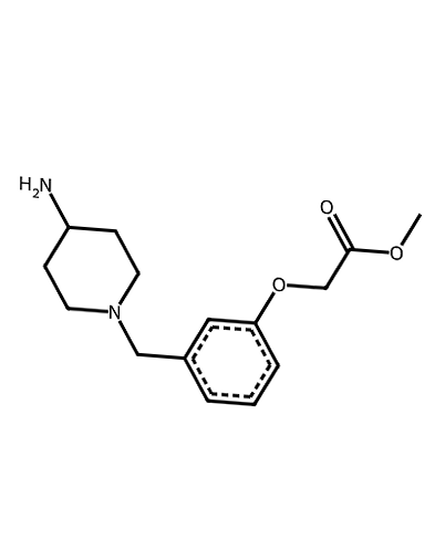 COC(=O)COc1cccc(CN2CCC(N)CC2)c1